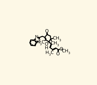 COC(=O)C=C(C)C=C[C@@]1(O)C(C)=C(Cc2nc3ccccc3s2)C(=O)CC1(C)C